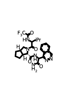 CC(C)C(NC(=O)C(F)(F)F)C(=O)N1C[C@@H]2CCC[C@@H]2[C@H]1C(=O)NC(C(N)=O)c1nncc2ccccc12